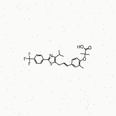 Cc1cc(/C=C/Cc2sc(-c3ccc(C(F)(F)F)cc3)nc2C(C)C)ccc1OC(C)(C)C(=O)O